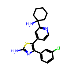 Nc1nc(-c2cccc(Cl)c2)c(-c2ccnc(C3(N)CCCCC3)c2)s1